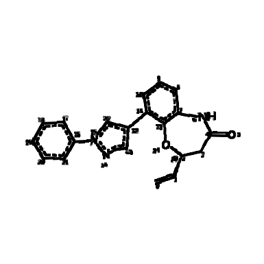 C=C[C@@H]1CC(=O)Nc2cccc(-c3cnn(-c4ccccc4)c3)c2O1